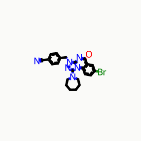 N#Cc1ccc(Cn2nc(N3CCCCCC3)n3c4ccc(Br)cc4c(=O)nc23)cc1